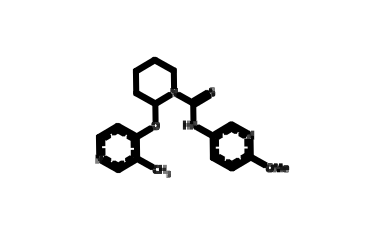 COc1ccc(NC(=S)N2CCCCC2Oc2ccncc2C)cn1